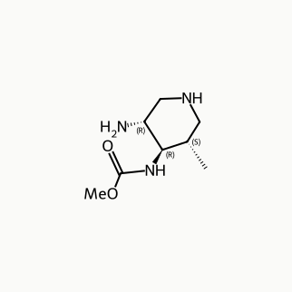 COC(=O)N[C@H]1[C@H](N)CNC[C@@H]1C